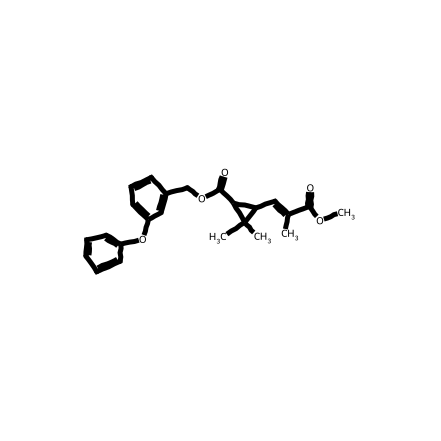 COC(=O)/C(C)=C/C1C(C(=O)OCc2cccc(Oc3ccccc3)c2)C1(C)C